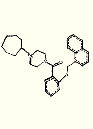 O=C(c1ccccc1SCc1cccc2ccccc12)N1CCN(C2CCCCCC2)CC1